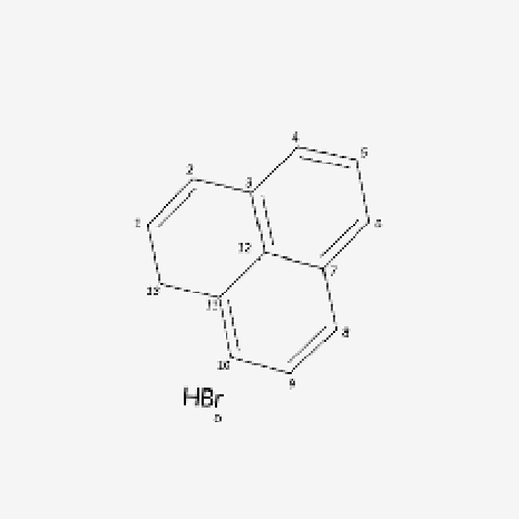 Br.C1=Cc2cccc3cccc(c23)C1